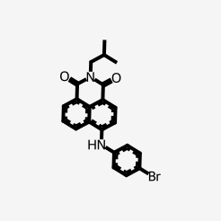 CC(C)CN1C(=O)c2cccc3c(Nc4ccc(Br)cc4)ccc(c23)C1=O